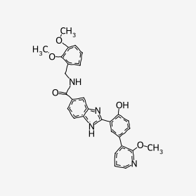 COc1cccc(CNC(=O)c2ccc3[nH]c(-c4cc(-c5cccnc5OC)ccc4O)nc3c2)c1OC